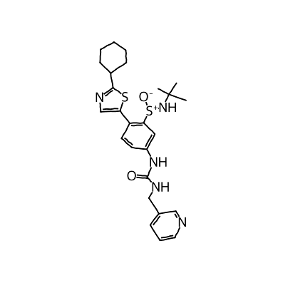 CC(C)(C)N[S+]([O-])c1cc(NC(=O)NCc2cccnc2)ccc1-c1cnc(C2CCCCC2)s1